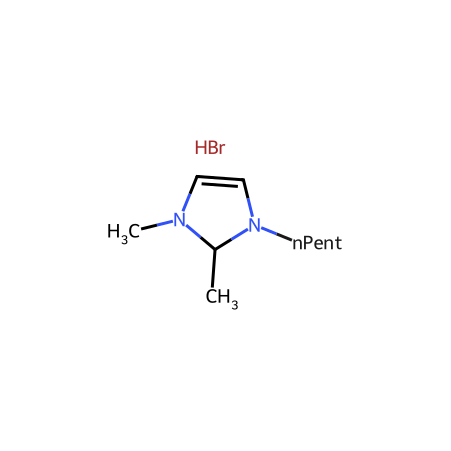 Br.CCCCCN1C=CN(C)C1C